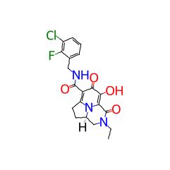 CCN1C[C@H]2CCc3c(C(=O)NCc4cccc(Cl)c4F)c(=O)c(O)c(n32)C1=O